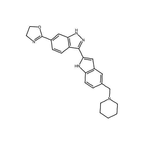 c1cc2[nH]c(-c3n[nH]c4cc(C5=NCCO5)ccc34)cc2cc1CN1CCCCC1